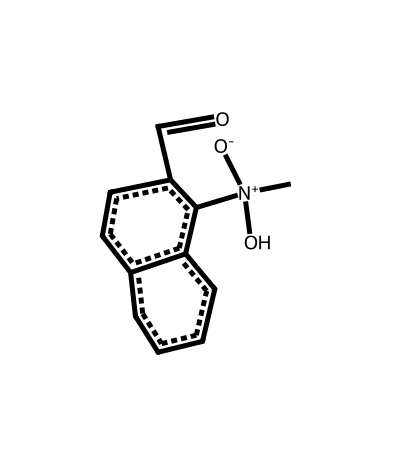 C[N+]([O-])(O)c1c(C=O)ccc2ccccc12